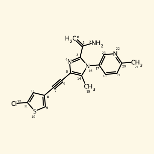 C=C(N)c1nc(C#Cc2csc(Cl)c2)c(C)n1-c1ccc(C)nc1